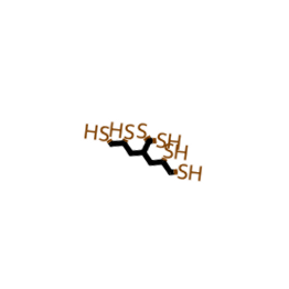 S=C(S)C(CC(S)CS)CC(S)CS